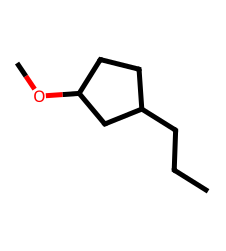 CCCC1CCC(OC)C1